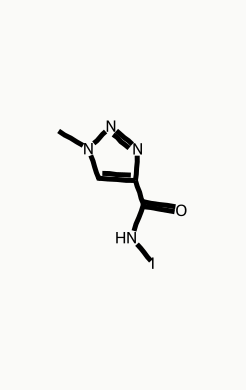 Cn1cc(C(=O)NI)nn1